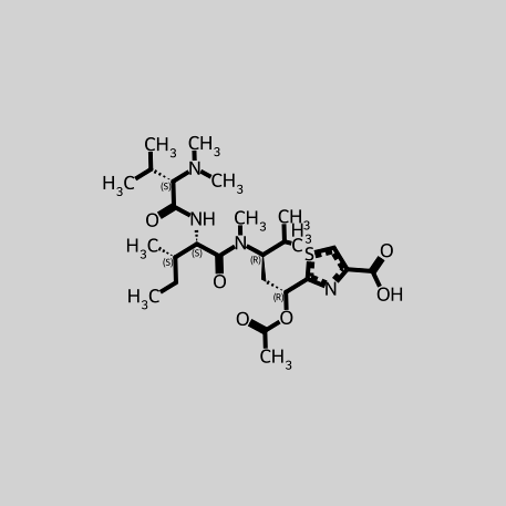 CC[C@H](C)[C@H](NC(=O)[C@H](C(C)C)N(C)C)C(=O)N(C)[C@H](C[C@@H](OC(C)=O)c1nc(C(=O)O)cs1)C(C)C